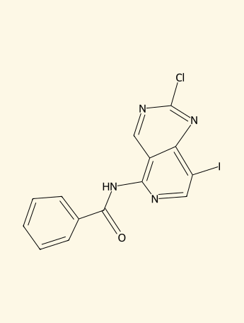 O=C(Nc1ncc(I)c2nc(Cl)ncc12)c1ccccc1